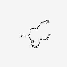 C=COC=C.CCN(CC)CCCO